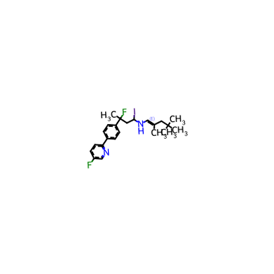 C/C(=C\NC(I)CC(C)(F)c1ccc(-c2ccc(F)cn2)cc1)CC(C)(C)C